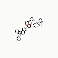 C1#CC(N(c2ccc(-c3ccc4c(ccc5c4c4ccccc4n5-c4ccccc4)c3)cc2)c2ccccc2C2=CC=CCC2)=Cc2c(oc3ccccc23)C1